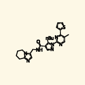 CCCCc1c(C(=O)NCc2cnc3n2CCCC3)cnn1-c1ncc(C)c(-c2cccs2)n1